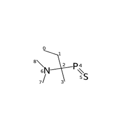 CCC(C)(P=S)N(C)C